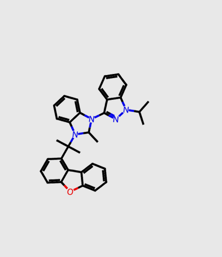 CC1N(c2nn(C(C)C)c3ccccc23)c2ccccc2N1C(C)(C)c1cccc2oc3ccccc3c12